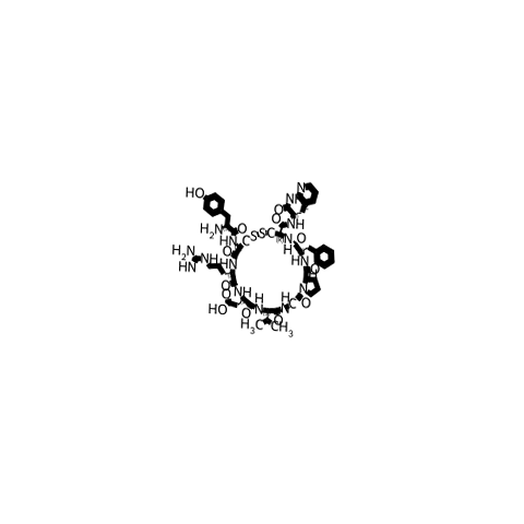 CC(C)[C@@H]1NC(=O)[C@H](CC(=O)O)NC(=O)[C@H](CCCNC(=N)N)NC(=O)[C@@H](NC(=O)[C@@H](N)Cc2ccc(O)cc2)CSSC[C@@H](C(=O)N[C@@H](Cc2cccnc2)C(N)=O)NC(=O)[C@H](Cc2ccccc2)NC(=O)[C@@H]2CCCN2C(=O)CNC1=O